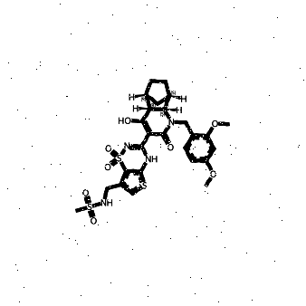 COc1ccc(CN2C(=O)C(C3=NS(=O)(=O)c4c(CNS(C)(=O)=O)csc4N3)=C(O)[C@@H]3[C@@H]4CC[C@@H](C4)[C@@H]32)c(OC)c1